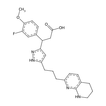 COc1ccc(C(CC(=O)O)c2cc(CCCc3ccc4c(n3)NCCC4)[nH]n2)cc1F